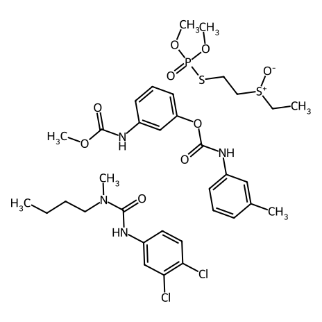 CCCCN(C)C(=O)Nc1ccc(Cl)c(Cl)c1.CC[S+]([O-])CCSP(=O)(OC)OC.COC(=O)Nc1cccc(OC(=O)Nc2cccc(C)c2)c1